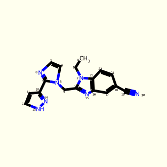 CCn1c(Cn2ccnc2-c2cc[nH]n2)nc2cc(C#N)ccc21